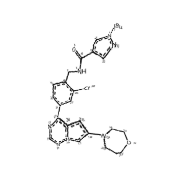 CC(C)(C)n1cc(C(=O)NCc2ccc(-c3ncnn4cc(N5CCOCC5)cc34)cc2Cl)cn1